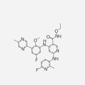 CCONC(=O)c1cnc(Nc2ccc(F)nc2C)cc1Nc1cc(F)cc(-c2cnc(C)cn2)c1OC